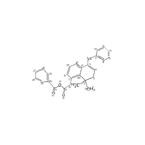 CC1(C)CC=C(Sc2ccccc2)c2cccc(CC(=O)OC(=O)c3ccccc3)c21